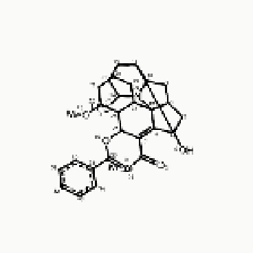 COC(=O)C1=C2C3(O)CC4CC5C3CCC(C)N5C24C2CCCC(OC)C2C1OC(=O)c1ccccc1